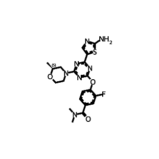 C[C@H]1CN(c2nc(Oc3ccc(C(=O)N(C)C)cc3F)nc(-c3cnc(N)s3)n2)CCO1